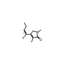 CC/C=C(/F)C1=C(C)C(=O)N(C)C1